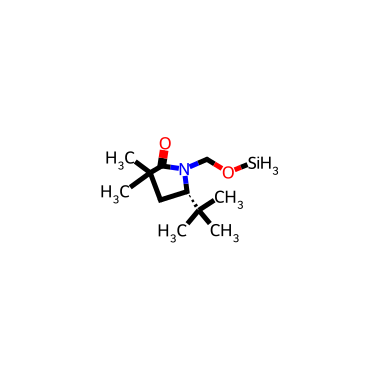 CC1(C)C[C@@H](C(C)(C)C)N(CO[SiH3])C1=O